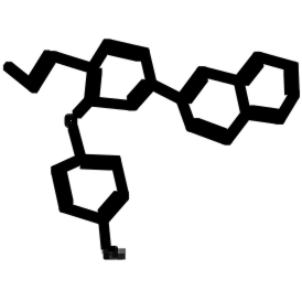 C/C=C/c1ccc(-c2ccc3ccccc3c2)cc1Oc1ccc(C(C)(C)C)cc1